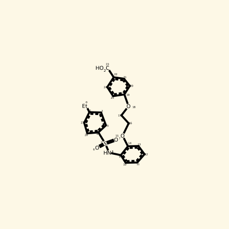 CCc1ccc(S(=O)(=O)Nc2ccccc2OCCOc2ccc(C(=O)O)cc2)cc1